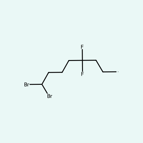 [CH2]CCC(F)(F)CCCC(Br)Br